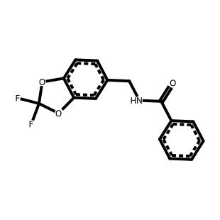 O=C(NCc1ccc2c(c1)OC(F)(F)O2)c1ccccc1